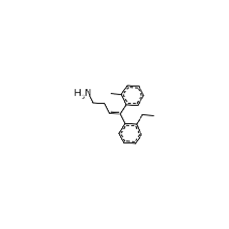 CCc1ccccc1C(=CCCN)c1ccccc1C